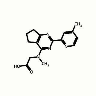 Cc1ccnc(-c2nc3c(c(N(C)CC(=O)O)n2)CCC3)c1